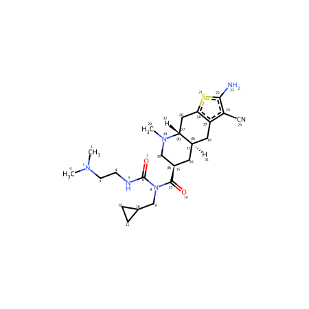 CN(C)CCNC(=O)N(CC1CC1)C(=O)[C@@H]1C[C@@H]2Cc3c(sc(N)c3C#N)C[C@H]2N(C)C1